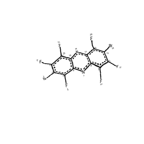 Fc1c(Br)c(F)c2nc3c(F)c(F)c(Br)c(F)c3nc2c1F